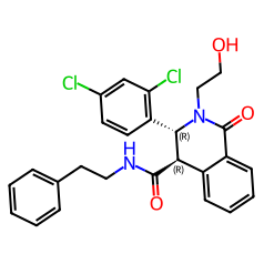 O=C(NCCc1ccccc1)[C@@H]1c2ccccc2C(=O)N(CCO)[C@H]1c1ccc(Cl)cc1Cl